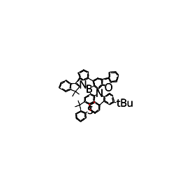 CC(C)(C)c1ccc(N2c3cc4c(cc3B3c5c(cc6c(oc7ccccc76)c52)-c2cccc5c6c(n3c25)C(C)(C)c2ccccc2-6)C(C)(C)c2ccccc2S4)c(-c2ccccc2)c1